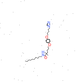 CCCCCCCCCCNC(=O)C(C)(C)CCCCOc1ccc(OCCCCCn2ccnc2)cc1